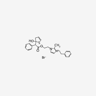 Cc1n(CCOC(=O)C(c2ccccc2)C2(O)CC=CS2)cc[n+]1CCc1ccccc1.[Br-]